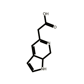 O=C(O)CC1=NCC2NC=CC2=C1